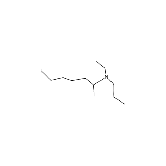 CCCN(CC)C(I)CCCCI